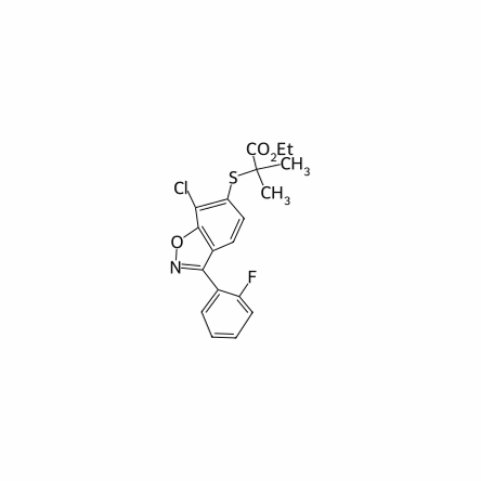 CCOC(=O)C(C)(C)Sc1ccc2c(-c3ccccc3F)noc2c1Cl